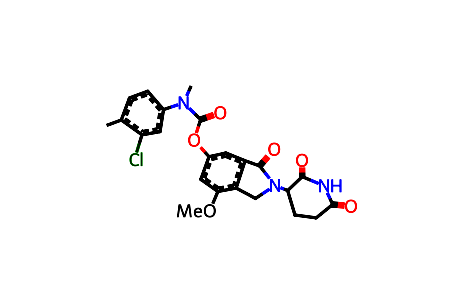 COc1cc(OC(=O)N(C)c2ccc(C)c(Cl)c2)cc2c1CN(C1CCC(=O)NC1=O)C2=O